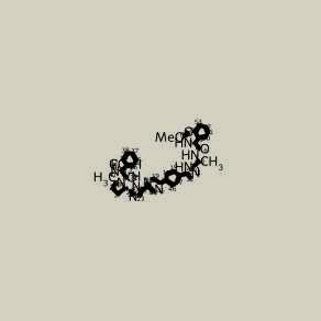 COC(=O)N[C@@H](C(=O)N[C@@H](C)c1ncc(-c2ccc(-c3cnc(-c4cnc([C@@H]5CCCN5C(=O)[C@@H](c5ccccc5)N(C)C(=O)O)[nH]4)cn3)cc2)[nH]1)c1ccccc1